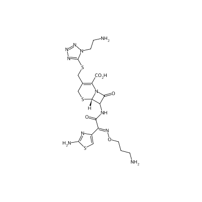 NCCCON=C(C(=O)NC1C(=O)N2C(C(=O)O)=C(CSc3nnnn3CCN)CS[C@@H]12)c1csc(N)n1